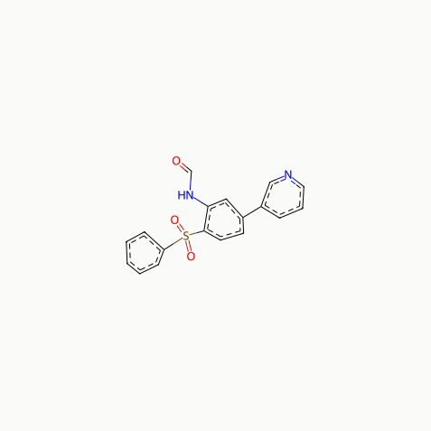 O=CNc1cc(-c2cccnc2)ccc1S(=O)(=O)c1ccccc1